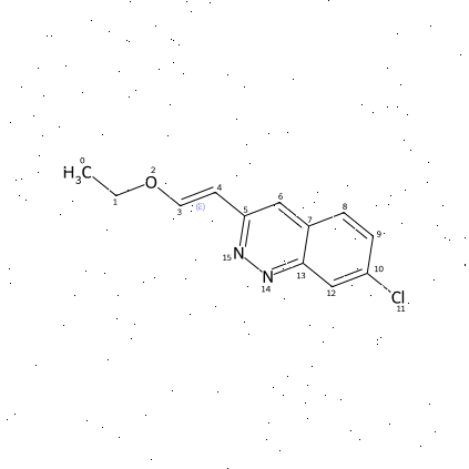 CCO/C=C/c1cc2ccc(Cl)cc2nn1